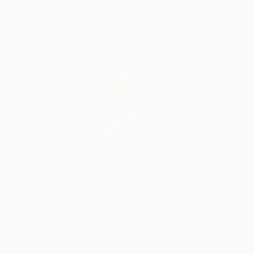 CCC1(CC)OC(C=O)OC1(CC)CC